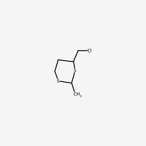 CC1SCCC(CCl)S1